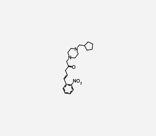 O=C(CC=Cc1ccccc1[N+](=O)[O-])CN1CCN(CC2CCCC2)CC1